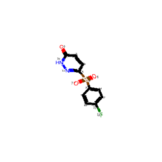 O=c1ccc(S(=O)(=O)c2ccc(F)cc2)n[nH]1